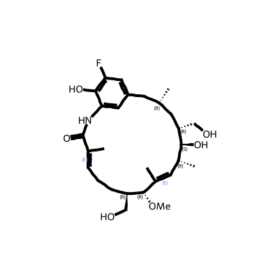 CO[C@H]1/C(C)=C/[C@@H](C)[C@H](O)[C@@H](CO)C[C@@H](C)Cc2cc(F)c(O)c(c2)NC(=O)/C(C)=C/CC[C@@H]1CO